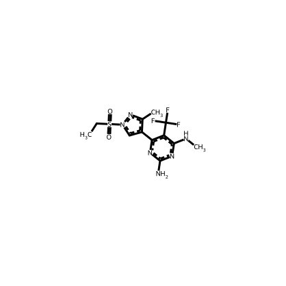 CCS(=O)(=O)n1cc(-c2nc(N)nc(NC)c2C(F)(F)F)c(C)n1